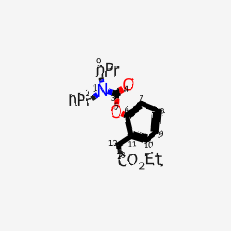 CCCN(CCC)C(=O)Oc1ccccc1CC(=O)OCC